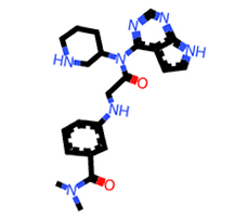 CN(C)C(=O)c1cccc(NCC(=O)N(c2ncnc3[nH]ccc23)C2CCCNC2)c1